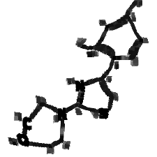 Cc1ccc(-c2csc(N3CCOCC3)n2)c(C)c1